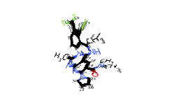 Cc1nc(N[C@H](C)c2cccc(C(F)F)c2F)c2cc(C(=O)N(C)C)c(N3CCCC3)nc2n1